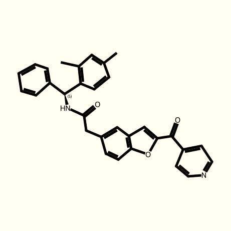 Cc1ccc([C@@H](NC(=O)Cc2ccc3oc(C(=O)c4ccncc4)cc3c2)c2ccccc2)c(C)c1